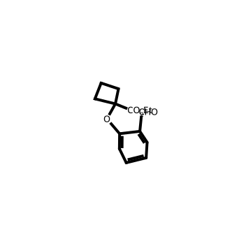 CCOC(=O)C1(Oc2ccccc2C=O)CCC1